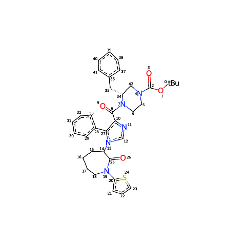 CC(C)(C)OC(=O)N1CCN(C(=O)c2ncn(C3CCCCN(c4cccs4)C3=O)c2-c2ccccc2)[C@H](Cc2ccccc2)C1